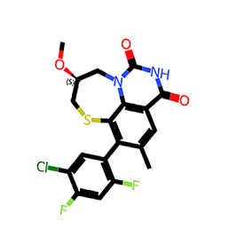 CO[C@@H]1CSc2c(-c3cc(Cl)c(F)cc3F)c(C)cc3c(=O)[nH]c(=O)n(c23)C1